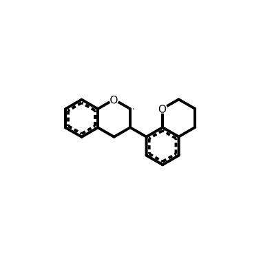 [CH]1Oc2ccccc2CC1c1cccc2c1OCCC2